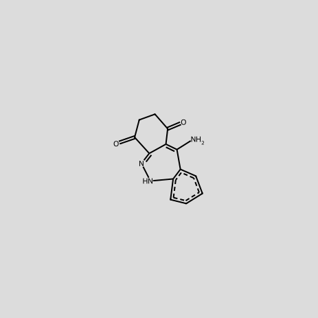 NC1=C2C(=O)CCC(=O)C2=NNc2ccccc21